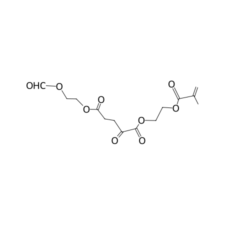 C=C(C)C(=O)OCCOC(=O)C(=O)CCC(=O)OCCOC=O